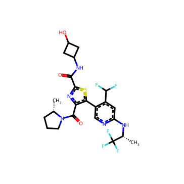 C[C@H]1CCCN1C(=O)c1nc(C(=O)NC2CC(O)C2)sc1-c1cnc(N[C@H](C)C(F)(F)F)cc1C(F)F